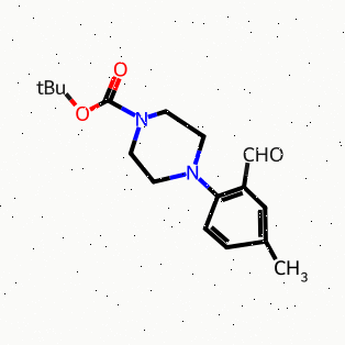 Cc1ccc(N2CCN(C(=O)OC(C)(C)C)CC2)c(C=O)c1